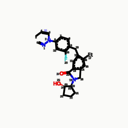 C=NN(/C=C\C)c1ccc(Cc2cc3c(cc2CC)CN([C@H]2CCC[C@@H]2O)C3=O)c(F)c1